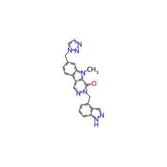 Cn1c2cc(Cn3ccnn3)ccc2c2cnn(Cc3cccc4[nH]ncc34)c(=O)c21